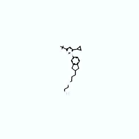 CCCOCCCC1Cc2ccc(-n3nc(C(F)(F)F)cc3C3CC3)cc2C1